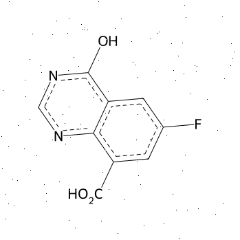 O=C(O)c1cc(F)cc2c(O)ncnc12